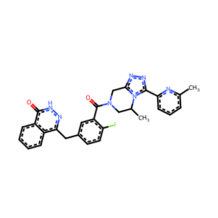 Cc1cccc(-c2nnc3n2C(C)CN(C(=O)c2cc(Cc4n[nH]c(=O)c5ccccc45)ccc2F)C3)n1